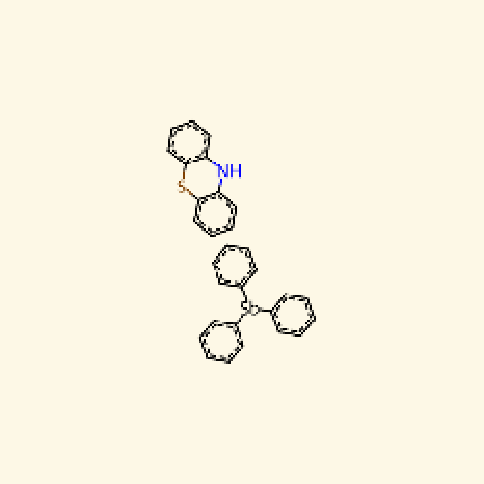 c1cc[c]([Sb]([c]2ccccc2)[c]2ccccc2)cc1.c1ccc2c(c1)Nc1ccccc1S2